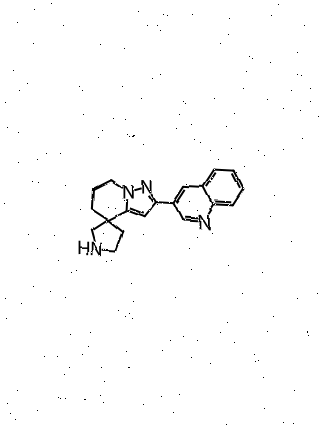 c1ccc2ncc(-c3cc4n(n3)CCCC43CCNC3)cc2c1